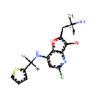 [2H]C([2H])(Nc1cc(Cl)nc2c(Br)c(C[C@]([2H])(C)N)oc12)c1cccs1